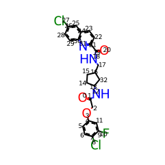 O=C(COc1ccc(Cl)c(F)c1)NC1CCC(CNC(=O)c2ccc3cc(Cl)ccc3n2)C1